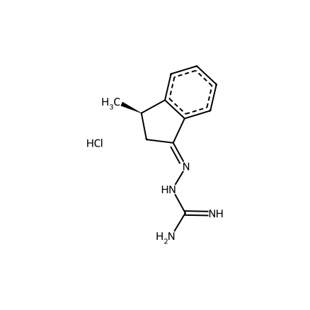 C[C@@H]1CC(=NNC(=N)N)c2ccccc21.Cl